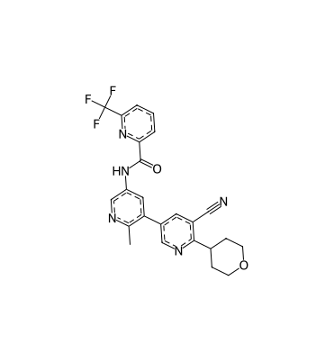 Cc1ncc(NC(=O)c2cccc(C(F)(F)F)n2)cc1-c1cnc(C2CCOCC2)c(C#N)c1